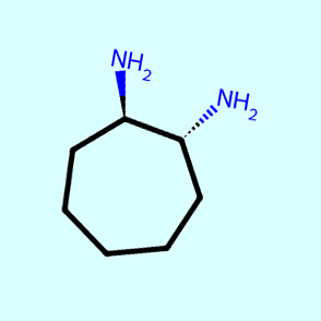 N[C@@H]1CCCCC[C@H]1N